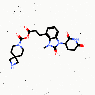 Cn1c(=O)n(C2CCC(=O)NC2=O)c2cccc(CCC(=O)OC(=O)N3CCC4(CC3)CNC4)c21